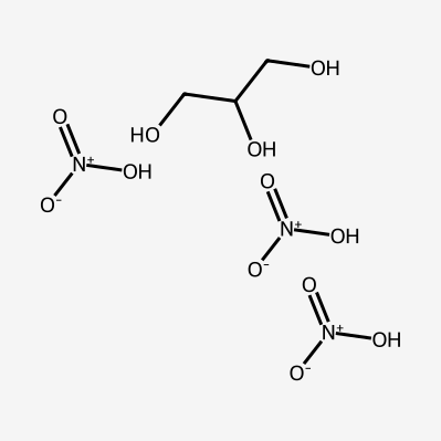 O=[N+]([O-])O.O=[N+]([O-])O.O=[N+]([O-])O.OCC(O)CO